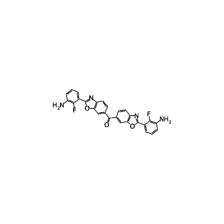 Nc1cccc(-c2nc3ccc(C(=O)c4ccc5nc(-c6cccc(N)c6F)oc5c4)cc3o2)c1F